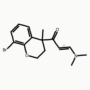 CN(C)/C=C/C(=O)C1(C)CCOc2c(Br)cccc21